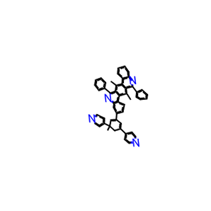 Cc1c2c(-c3ccccc3)nc3cc(C4=CC(C)(c5ccncc5)CC(c5ccncc5)=C4)ccc3c2c(C)c2c(-c3ccccc3)nc3ccccc3c12